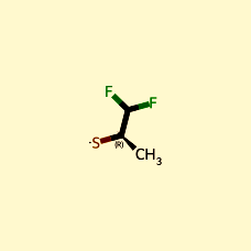 C[C@@H]([S])C(F)F